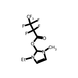 CCN1C=CN(C)C1OC(=O)C(F)(F)C(F)(F)C(F)(F)F